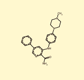 CN1CCN(c2ccc(Nc3cc(-c4ccccc4)cnc3C(N)=O)cc2)CC1